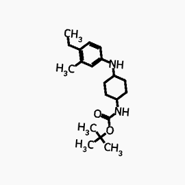 CCc1ccc(NC2CCC(NC(=O)OC(C)(C)C)CC2)cc1C